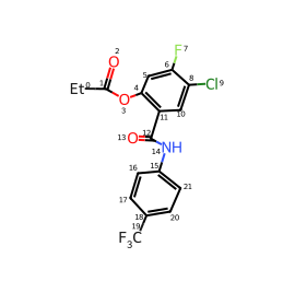 CCC(=O)Oc1cc(F)c(Cl)cc1C(=O)Nc1ccc(C(F)(F)F)cc1